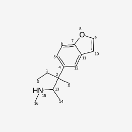 CCC(C)(c1ccc2occc2c1)C(C)NC